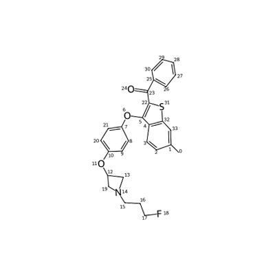 Cc1ccc2c(Oc3ccc(OC4CN(CCCF)C4)cc3)c(C(=O)c3ccccc3)sc2c1